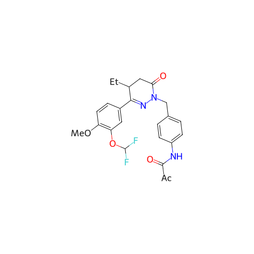 CCC1CC(=O)N(Cc2ccc(NC(=O)C(C)=O)cc2)N=C1c1ccc(OC)c(OC(F)F)c1